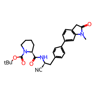 CN1C(=O)Cc2ccc(-c3ccc(C[C@@H](C#N)NC(=O)[C@@H]4CCCCN4C(=O)OC(C)(C)C)cc3)cc21